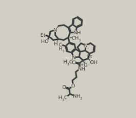 CCC1(O)C[C@H]2C[N@](CCc3c([nH]c4ccccc34)[C@@](C)(c3cc4c(cc3C)N(C)C3C45CCN4CC=C[C@](CC)(C45)[C@@H](O)[C@]3(O)C(=O)NCCCOC(=O)C(C)N)C2)C1